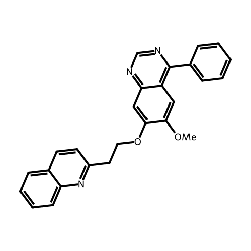 COc1cc2c(-c3ccccc3)ncnc2cc1OCCc1ccc2ccccc2n1